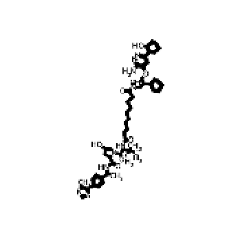 Cc1ncsc1-c1ccc(C(C)NC(=O)C2CC(O)CN2C(=O)C(NC(=O)CCCCCCCCC(=O)N(C)CC(COc2cc(-c3ccccc3O)nnc2N)c2ccccc2)C(C)(C)C)cc1